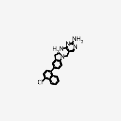 Nc1ncc(CN2CCc3cc(-c4ccc(Cl)c5ccccc45)ccc32)c(N)n1